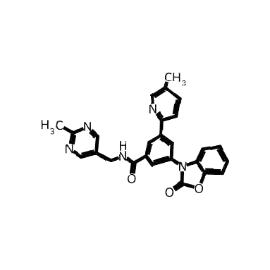 Cc1ccc(-c2cc(C(=O)NCc3cnc(C)nc3)cc(-n3c(=O)oc4ccccc43)c2)nc1